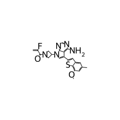 C=C(F)C(=O)N1CC(n2cc(-c3cc4cc(C)cc(OC)c4s3)c3c(N)ncnc32)C1